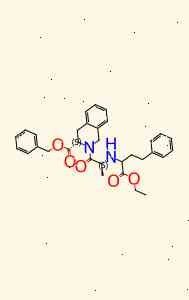 CCOC(=O)C(CCc1ccccc1)N[C@@H](C)C(=O)N1Cc2ccccc2C[C@H]1C(=O)OCc1ccccc1